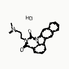 CN(C)CCn1c(=O)c2cccc3c4cc5ccccc5cc4n(c1=O)c23.Cl